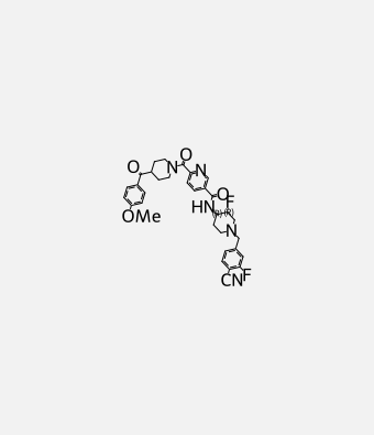 COc1ccc(C(=O)C2CCN(C(=O)c3ccc(C(=O)N[C@@H]4CCN(Cc5ccc(C#N)c(F)c5)C[C@H]4F)cn3)CC2)cc1